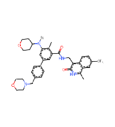 CCN(c1cc(-c2ccc(CN3CCOCC3)cc2)cc(C(=O)NCc2c(=O)[nH]c(C)c3cc(C(F)(F)F)ccc23)c1C)C1CCOCC1